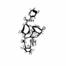 O=C(Nc1ccccn1)c1ccc(CN2C(=O)c3ccc(Cl)cc3NC(=O)C2Cc2ccc(Cl)cc2)cc1